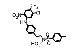 Cc1ccc(S(=O)(=O)N(CCc2ccc(Nc3cc(Cl)c(C(F)(F)F)cc3[N+](=O)[O-])cc2)C(=O)O)cc1